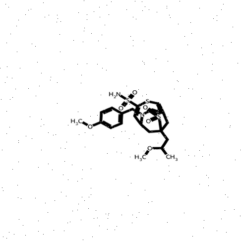 COc1ccc(CN2CC3=C4SC(S(N)(=O)=O)=CC2CC(CC(C)OC)(C3)S4(=O)=O)cc1